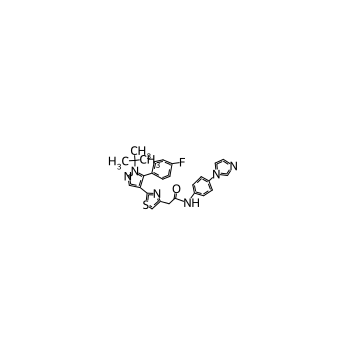 CC(C)(C)n1ncc(-c2nc(CC(=O)Nc3ccc(-n4ccnc4)cc3)cs2)c1-c1ccc(F)cc1